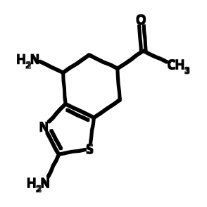 CC(=O)C1Cc2sc(N)nc2C(N)C1